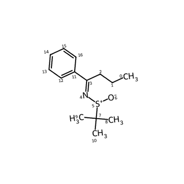 CCC/C(=N\[S+]([O-])C(C)(C)C)c1ccccc1